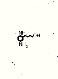 Nc1ccc(N)c(CCCCO)c1